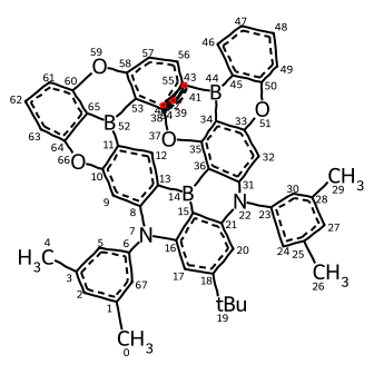 Cc1cc(C)cc(N2c3cc4c(cc3B3c5c2cc(C(C)(C)C)cc5N(c2cc(C)cc(C)c2)c2cc5c6c(c23)Oc2ccccc2B6c2ccccc2O5)B2c3ccccc3Oc3cccc(c32)O4)c1